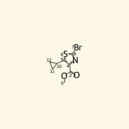 COC(=O)c1nc(Br)sc1C1CC1